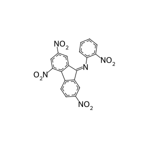 O=[N+]([O-])c1ccc2c(c1)/C(=N/c1ccccc1[N+](=O)[O-])c1cc([N+](=O)[O-])cc([N+](=O)[O-])c1-2